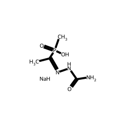 CC(=NNC(N)=O)P(C)(=O)O.[NaH]